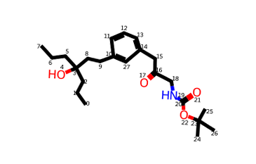 CCCC(O)(CCC)CCc1cccc(CC(=O)CNC(=O)OC(C)(C)C)c1